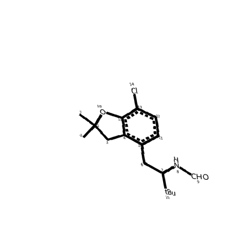 CC1(C)Cc2c(CC(NC=O)C(C)(C)C)ccc(Cl)c2O1